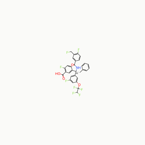 O=C(N[C@@](Cc1ccccc1)(c1cc(F)cc(OC(F)(F)C(F)F)c1)c1ccc(F)c(C(=O)O)c1)c1ccc(F)c(CF)c1